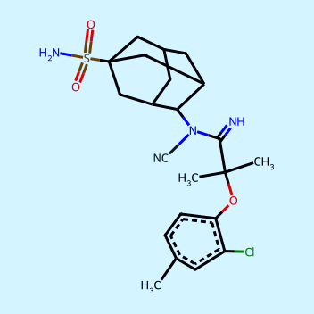 Cc1ccc(OC(C)(C)C(=N)N(C#N)C2C3CC4CC2CC(S(N)(=O)=O)(C4)C3)c(Cl)c1